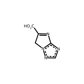 O=C(O)C1=Nc2ncnn2C1